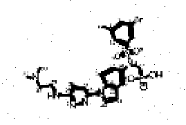 Cc1cc(Br)cc(S(=O)(=O)N(CP(=O)(O)O)c2ccc3c(ccn3-c3ccc(NCCN(C)C)nn3)c2)c1